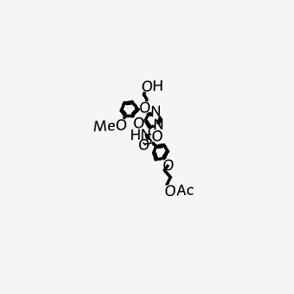 COc1ccccc1Oc1c(NS(=O)(=O)c2ccc(OCCCOC(C)=O)cc2)ncnc1OCCO